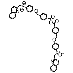 O=C(OC(=O)c1ccc(COc2ccc(S(=O)(=O)Cc3ccc4ccccc4n3)cc2)cc1)c1ccc(COc2ccc([S+]([O-])Cc3ccc4ccccc4n3)cc2)cc1